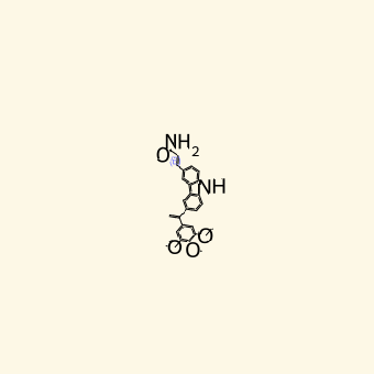 C=C(c1cc(OC)c(OC)c(OC)c1)c1ccc2[nH]c3ccc(/C=C/C(N)=O)cc3c2c1